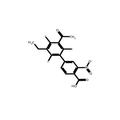 CCc1c(I)c(C(C)=O)c(I)c(-c2ccc(C(=O)O)c([N+](=O)[O-])c2)c1I